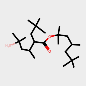 BC(C)(C)CC(C)C(CC(C)(C)C)C(=O)OC(C)(C)CC(C)CC(C)(C)C